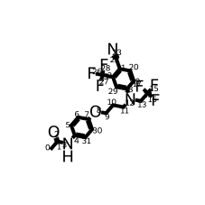 CC(=O)Nc1ccc(OCCCN(CC(F)(F)F)c2ccc(C#N)c(C(F)(F)F)c2)cc1